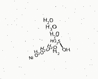 O.O.O.O.O.O.O.O=S(=O)(O)O.[Ni]